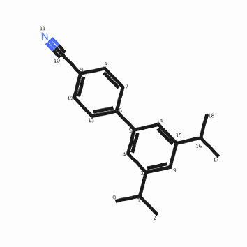 CC(C)c1cc(-c2ccc(C#N)cc2)cc(C(C)C)c1